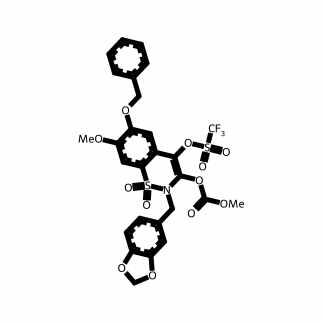 COC(=O)OC1=C(OS(=O)(=O)C(F)(F)F)c2cc(OCc3ccccc3)c(OC)cc2S(=O)(=O)N1Cc1ccc2c(c1)OCO2